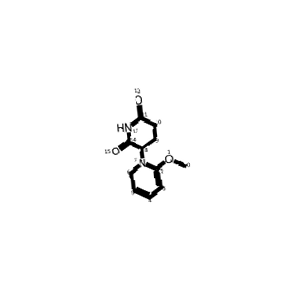 COC1=CC=CCN1C1CCC(=O)NC1=O